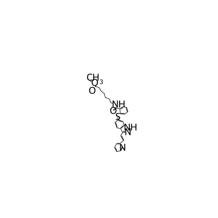 CCOC(=O)CCCCCCNC(=O)c1ccccc1Sc1ccc2c(C=Cc3ccccn3)n[nH]c2c1